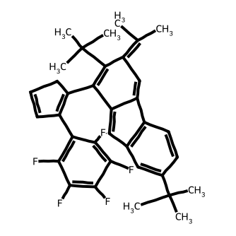 CC(C)=c1cc2c(c(C3=C(c4c(F)c(F)c(F)c(F)c4F)C=CC3)c1C(C)(C)C)=[C]c1cc(C(C)(C)C)ccc1-2